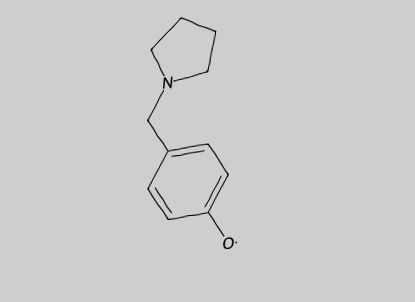 [O]c1ccc(CN2CCCC2)cc1